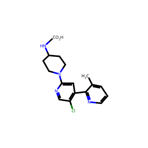 Cc1cccnc1-c1cc(N2CCC(NC(=O)O)CC2)ncc1Cl